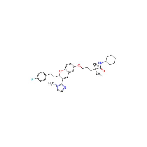 Cn1ccnc1C1=Cc2cc(OCCCC(C)(C)C(=O)NC3CCCCC3)ccc2OC1CCc1ccc(F)cc1